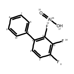 Fc1ccc(-c2ccccc2)c(F)c1F.[O]=[Al][OH]